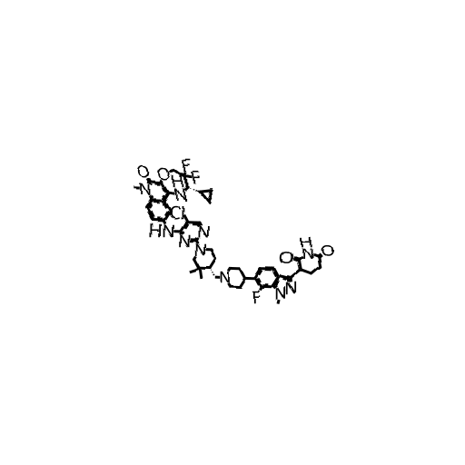 Cn1nc(C2CCC(=O)NC2=O)c2ccc(C3CCN(C[C@H]4CCN(c5ncc(Cl)c(Nc6ccc7c(c6)c6c(c(=O)n7C)OCC(F)(F)[C@H](C7CC7)N6)n5)CC4(C)C)CC3)c(F)c21